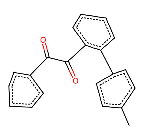 Cc1ccc(-c2ccccc2C(=O)C(=O)c2ccccc2)cc1